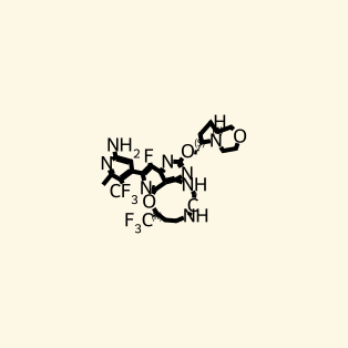 Cc1nc(N)cc(-c2nc3c4c(nc(OC[C@@H]5CC[C@H]6COCCN65)nc4c2F)NCCNCC[C@H](C(F)(F)F)O3)c1C(F)(F)F